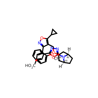 O=C(O)c1cccc(-c2nnc(N3[C@@H]4CC[C@H]3C[C@@H](OCc3c(-c5ccccc5OC(F)(F)F)noc3C3CC3)C4)o2)c1